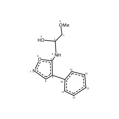 COCC(O)Nc1oncc1-c1ccccc1